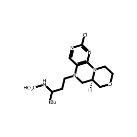 CC(C)(C)C(CCN1C[C@@H]2COCCN2c2nc(Cl)ncc21)NC(=O)O